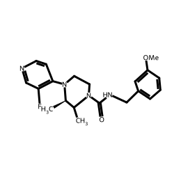 COc1cccc(CNC(=O)N2CCN(c3ccncc3F)[C@H](C)C2C)c1